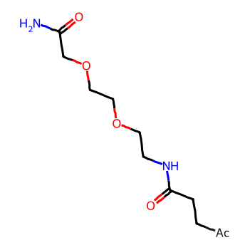 CC(=O)CCC(=O)NCCOCCOCC(N)=O